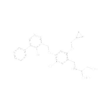 O=CC(CO)NCc1cc(Cl)c(OCc2cccc(-c3ccccc3)c2Br)cc1OCC1CC1